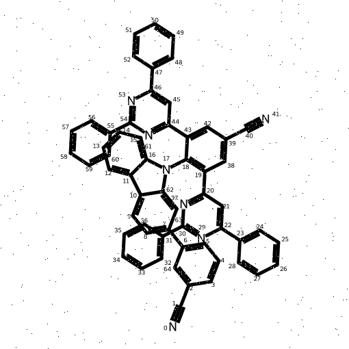 N#Cc1cccc(-c2ccc3c4ccccc4n(-c4c(-c5cc(-c6ccccc6)nc(-c6ccccc6)n5)cc(C#N)cc4-c4cc(-c5ccccc5)nc(-c5ccccc5)n4)c3c2)c1